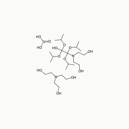 CC(C)OC(O)(OC(C)C)C(OC(C)C)(OC(C)C)N(CCO)CCO.OCCN(CCO)CCO.[O]=[Ti]([OH])[OH]